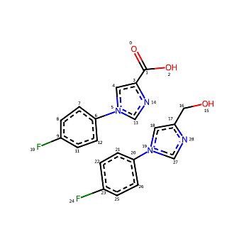 O=C(O)c1cn(-c2ccc(F)cc2)cn1.OCc1cn(-c2ccc(F)cc2)cn1